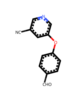 N#Cc1cncc(Oc2ccc(C=O)cc2)c1